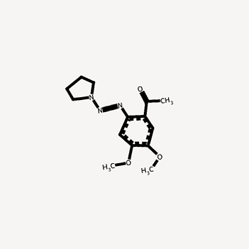 COc1cc(/N=N/N2CCCC2)c(C(C)=O)cc1OC